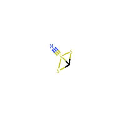 N#S12SC1S2